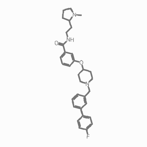 CN1CCCC1CCNC(=O)c1cccc(OC2CCN(Cc3cccc(-c4ccc(F)cc4)c3)CC2)c1